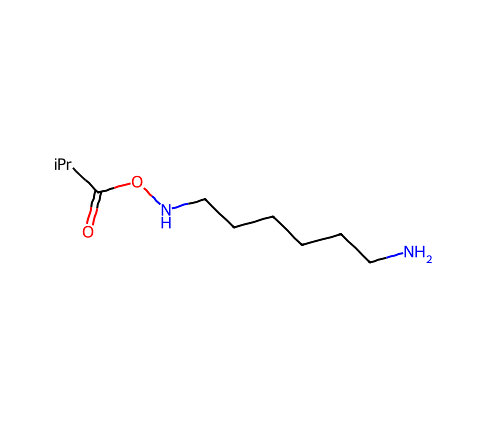 CC(C)C(=O)ONCCCCCCN